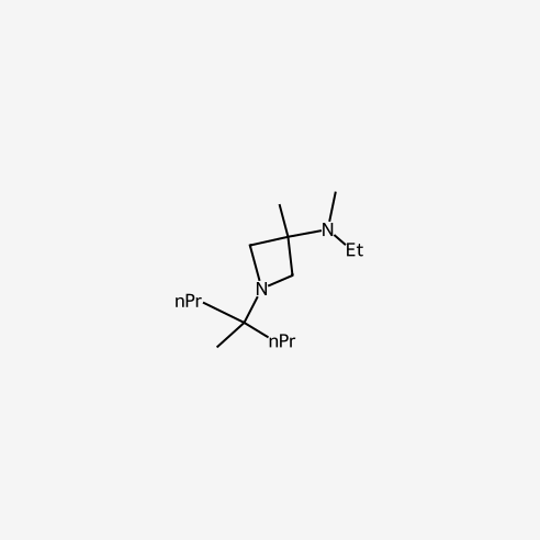 CCCC(C)(CCC)N1CC(C)(N(C)CC)C1